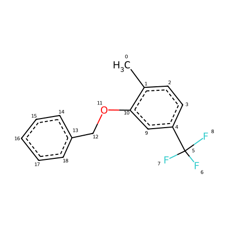 Cc1ccc(C(F)(F)F)cc1OCc1ccccc1